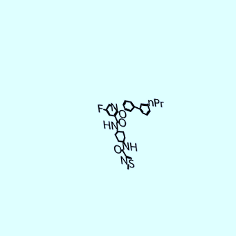 [CH2]CCc1cccc(-c2cccc(Oc3ncc(F)cc3C(=O)NC3CCC(NC(=O)c4csc(C)n4)CC3)c2)c1